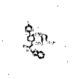 CCC(CN1CCN(c2ncc(F)cn2)CC1)Nc1nc2ccccc2s1.O=C(O)C=CC(=O)O.O=C(O)C=CC(=O)O